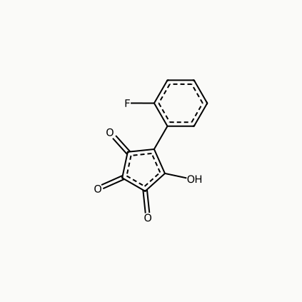 O=c1c(O)c(-c2ccccc2F)c(=O)c1=O